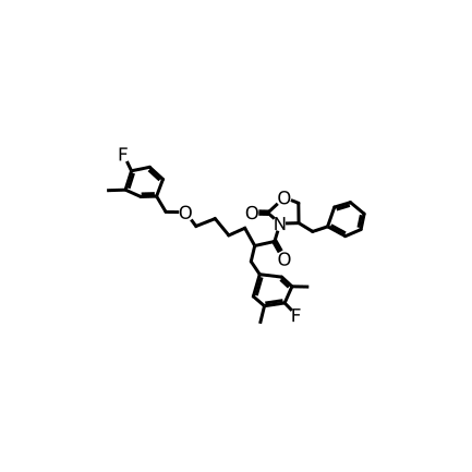 Cc1cc(COCCCCC(Cc2cc(C)c(F)c(C)c2)C(=O)N2C(=O)OCC2Cc2ccccc2)ccc1F